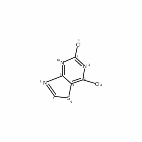 Clc1nc(Cl)c2scnc2n1